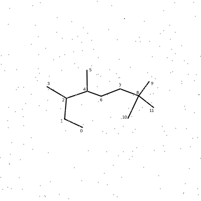 CCC(C)C(C)CCC(C)(C)C